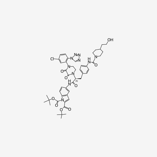 CC(C)(C)OC(=O)c1cc2cc(NC(=O)[C@H](Cc3ccc(NC(=O)N4CCC(CCO)CC4)cc3)N3CCN(c4cc(Cl)ccc4-n4cnnn4)C(=O)C3=O)ccc2n1C(=O)OC(C)(C)C